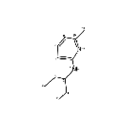 CCC(CC)Nc1cccc(C)n1